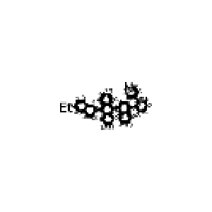 CCc1ccc2cc(-c3c4ccccc4c(-c4ccc(-c5cccnc5-c5ccncc5)c5ccccc45)c4ccccc34)ccc2c1